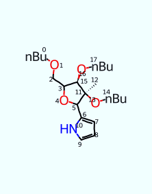 CCCCOCC1OC(c2ccc[nH]2)[C@](C)(OCCCC)[C@@H]1OCCCC